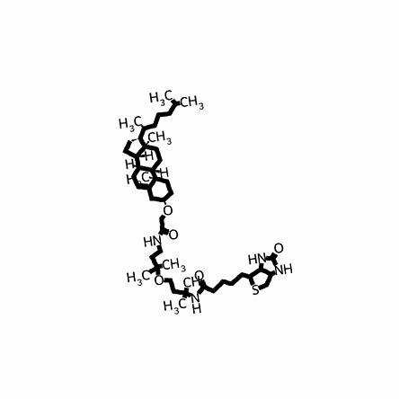 CC(C)CCC[C@@H](C)[C@H]1CC[C@H]2[C@@H]3CC=C4C[C@@H](OCC(=O)NCCC(C)(C)OCCC(C)(C)NC(=O)CCCCC5SCC6NC(=O)NC65)CC[C@]4(C)[C@H]3CC[C@]12C